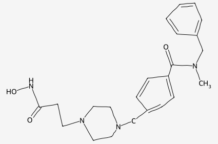 CN(Cc1ccccc1)C(=O)c1ccc(CN2CCN(CCC(=O)NO)CC2)cc1